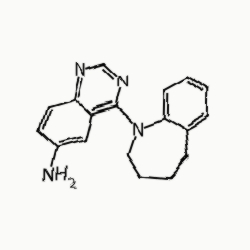 Nc1ccc2ncnc(N3CCCCc4ccccc43)c2c1